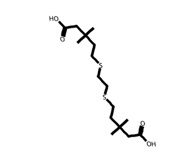 CC(C)(CCSCCSCCC(C)(C)CC(=O)O)CC(=O)O